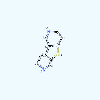 c1cc2c(cn1)sc1ccncc12